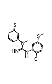 CSc1ccc(Cl)c(NC(=N)N(C)C2=CC(=S)CC=C2)c1